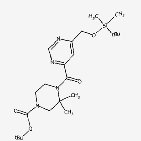 CC(C)(C)OC(=O)N1CCN(C(=O)c2cc(CO[Si](C)(C)C(C)(C)C)ncn2)C(C)(C)C1